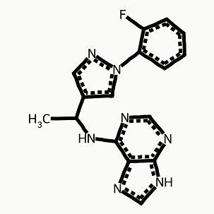 CC(Nc1ncnc2[nH]cnc12)c1cnn(-c2ccccc2F)c1